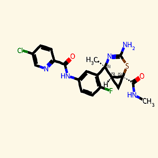 CNC(=O)[C@]12C[C@H]1[C@@](C)(c1cc(NC(=O)c3ccc(Cl)cn3)ccc1F)N=C(N)S2